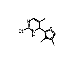 CCC1=NC=C(C)C(c2scc(C)c2C)N1